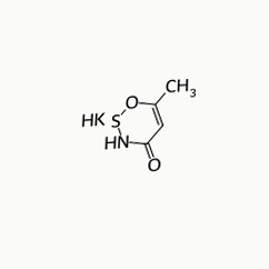 CC1=CC(=O)NSO1.[KH]